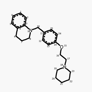 c1ccc2c(c1)CCCN2Cc1ccc(OCCN2CCCCC2)cc1